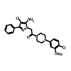 COc1cc(N2CCN(C(=O)Cn3nc(-c4ccccc4)c(Cl)c3N)CC2)ccc1Cl